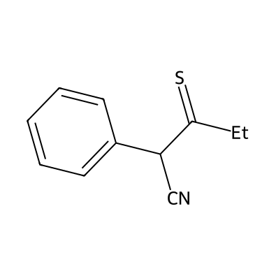 CCC(=S)C(C#N)c1ccccc1